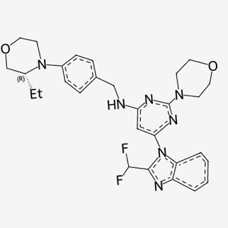 CC[C@@H]1COCCN1c1ccc(CNc2cc(-n3c(C(F)F)nc4ccccc43)nc(N3CCOCC3)n2)cc1